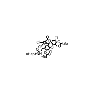 CCCCCCCNC(=O)CCc1cc2c(c(Cl)c1OC(=O)C(C)(C)C)Oc1c(cc(Cl)c(OC(=O)C(C)(C)C)c1C)C21OC(=O)c2cc(Cl)c(Cl)cc21